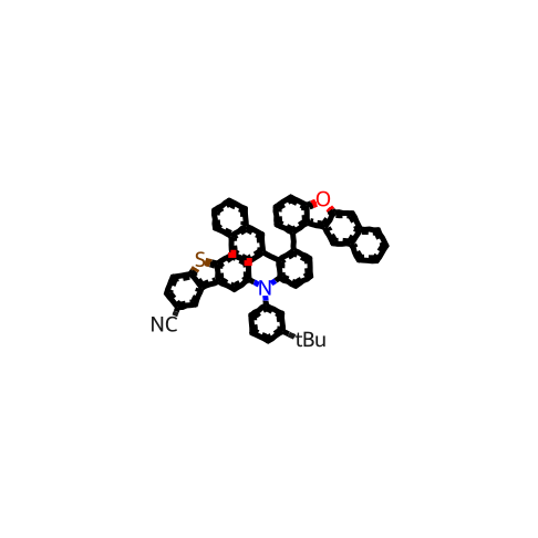 CC(C)(C)c1cccc(N(c2ccc3sc4ccc(C#N)cc4c3c2)c2cccc(-c3cccc4oc5cc6ccccc6cc5c34)c2-c2ccc3ccccc3c2)c1